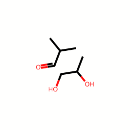 CC(C)C=O.CC(O)CO